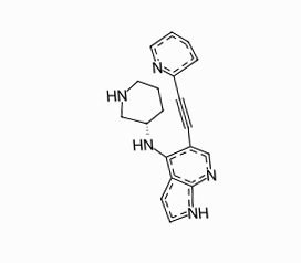 C(#Cc1cnc2[nH]ccc2c1N[C@H]1CCCNC1)c1ccccn1